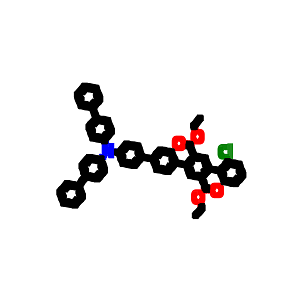 CCOC(=O)c1cc(-c2ccccc2Cl)c(C(=O)OCC)cc1-c1ccc(-c2ccc(N(c3ccc(-c4ccccc4)cc3)c3ccc(-c4ccccc4)cc3)cc2)cc1